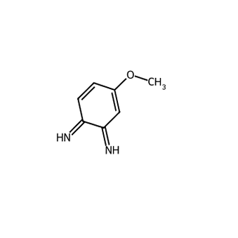 COC1=CC(=N)C(=N)C=C1